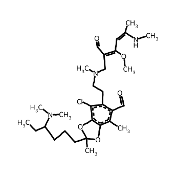 CCC(CCCC1(C)Oc2c(C)c(C=O)c(CCN(C)C/C(C=O)=C(/C=C(/C)NC)OC)c(Cl)c2O1)N(C)C